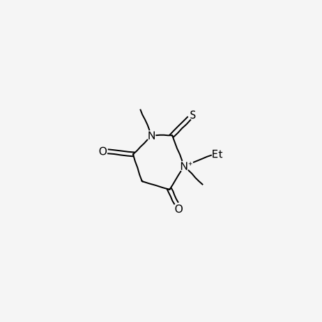 CC[N+]1(C)C(=O)CC(=O)N(C)C1=S